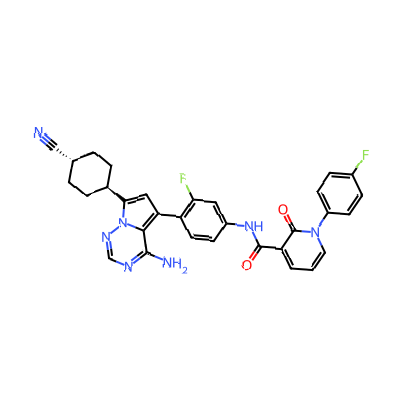 N#C[C@H]1CC[C@H](c2cc(-c3ccc(NC(=O)c4cccn(-c5ccc(F)cc5)c4=O)cc3F)c3c(N)ncnn32)CC1